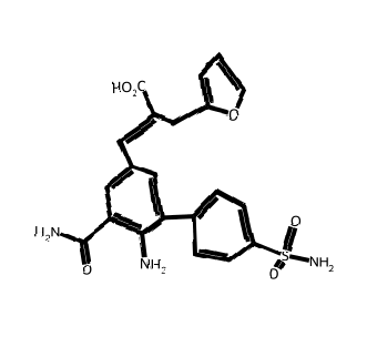 NC(=O)c1cc(/C=C(\Cc2ccco2)C(=O)O)cc(-c2ccc(S(N)(=O)=O)cc2)c1N